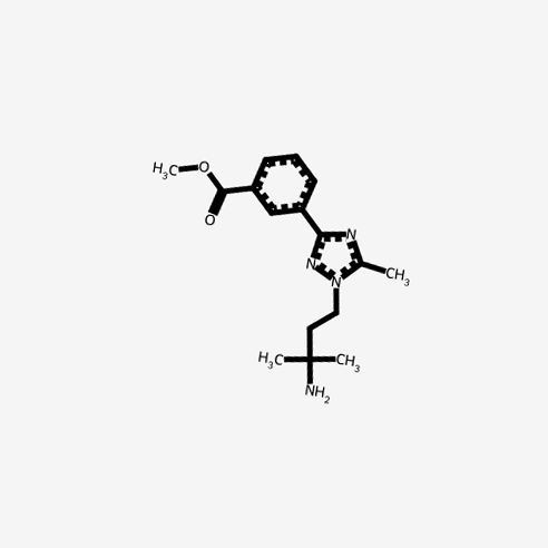 COC(=O)c1cccc(-c2nc(C)n(CCC(C)(C)N)n2)c1